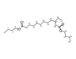 CCCCOC(=O)CCCCCCCCC(CC)CC(=O)OCCCC